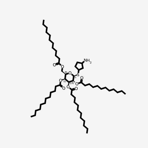 CCCCCCCCCCCC(=O)OC[C@H]1O[C@@H](SC2CCC(N)C2)[C@H](OC(=O)CCCCCCCCCCC)[C@@H](OC(=O)CCCCCCCCCCC)[C@H]1OC(=O)CCCCCCCCCCC